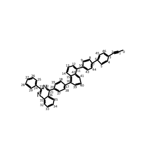 CC#Cc1ccc(-c2ccc(-c3cccc4c(-c5ccc(-c6nc(-c7ccccc7)nc7ccccc67)cc5)cccc34)cc2)cc1